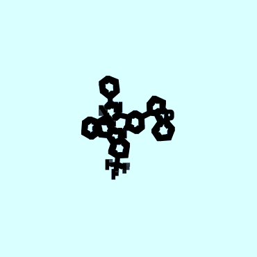 FC(F)(F)c1ccc2c(c1)c1ccccc1n2-c1ccc(-c2cccc3oc4ccccc4c23)cc1-c1nc(-c2ccccc2)nc(-c2ccccc2)n1